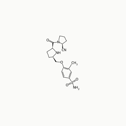 Cc1cc(S(N)(=O)=O)ccc1OC[C@H]1CC[C@@H](C(=O)N2CCC[C@H]2C#N)N1